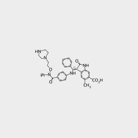 Cc1cc2c(cc1C(=O)O)NC(=O)/C2=C(/Nc1ccc(C(=O)N(OCCN2CCNCC2)C(C)C)cc1)c1ccccc1